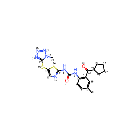 Cc1ccc(NC(=O)Nc2ncc(Sc3nnnn3C)s2)c(C(=O)C2CCCC2)c1